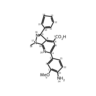 COc1cc(-c2cc(C(=O)O)c3c(-c4ccccc4)nn(C)c3n2)ccc1N